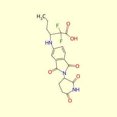 CCCC(Nc1ccc2c(c1)C(=O)N(C1CCC(=O)NC1=O)C2=O)C(F)(F)C(=O)O